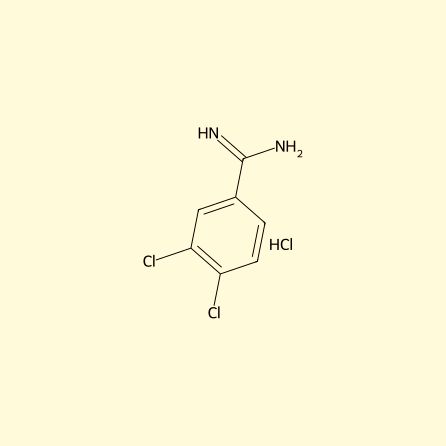 Cl.N=C(N)c1ccc(Cl)c(Cl)c1